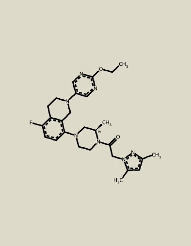 CCOc1ncc(N2CCc3c(F)ccc(N4CCN(C(=O)Cn5nc(C)cc5C)[C@H](C)C4)c3C2)cn1